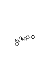 O=C(Cn1cnc2ccccc21)NCc1ccc(-c2ccccc2)cc1